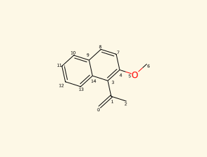 C=C(C)c1c(OC)ccc2c[c]ccc12